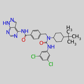 CC(C)(C)C1CCC(N(Cc2ccc(C(=O)Nc3ncnc4[nH]ncc34)cc2)C(=O)Nc2cc(Cl)cc(Cl)c2)CC1